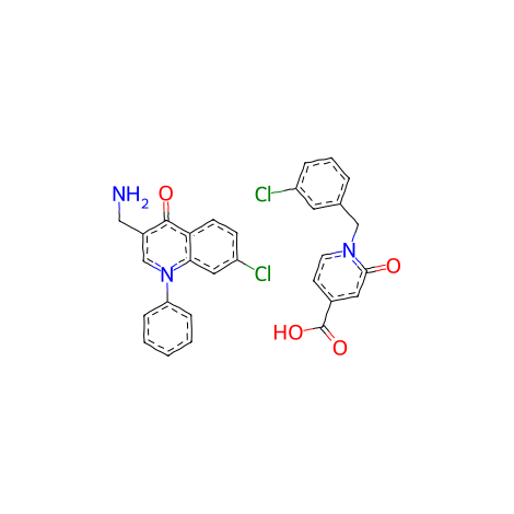 NCc1cn(-c2ccccc2)c2cc(Cl)ccc2c1=O.O=C(O)c1ccn(Cc2cccc(Cl)c2)c(=O)c1